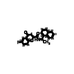 C[C@@H](NC(=O)C1CC(=O)c2cc(F)ccc2O1)c1cccc2ccccc12